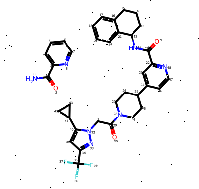 NC(=O)c1ccccn1.O=C(NC1CCCc2ccccc21)c1cc(C2CCN(C(=O)Cn3nc(C(F)(F)F)cc3C3CC3)CC2)ccn1